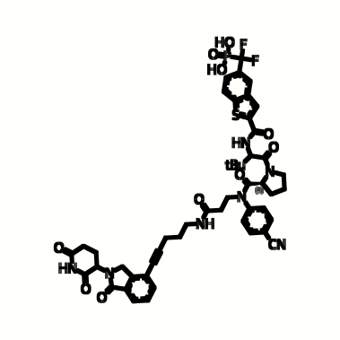 CC(C)(C)C(NC(=O)c1cc2cc(C(F)(F)P(=O)(O)O)ccc2s1)C(=O)N1CCC[C@H]1C(=O)N(CCC(=O)NCCCC#Cc1cccc2c1CN(C1CCC(=O)NC1=O)C2=O)c1ccc(C#N)cc1